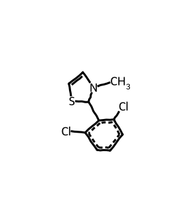 CN1C=CSC1c1c(Cl)cccc1Cl